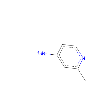 Cc1cc([NH])ccn1